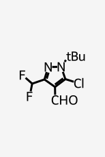 CC(C)(C)n1nc(C(F)F)c(C=O)c1Cl